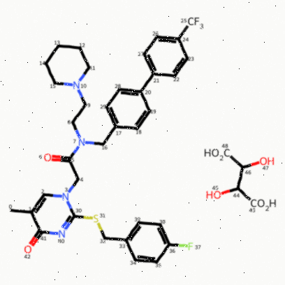 Cc1cn(CC(=O)N(CCN2CCCCC2)Cc2ccc(-c3ccc(C(F)(F)F)cc3)cc2)c(SCc2ccc(F)cc2)nc1=O.O=C(O)C(O)C(O)C(=O)O